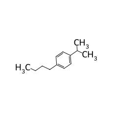 CCCCc1ccc(C(C)C)cc1